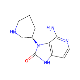 Nc1nccc2[nH]c(=O)n([C@@H]3CCCNC3)c12